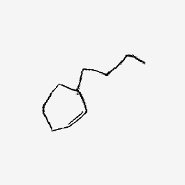 CCCC[C]1C=CCCC1